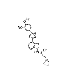 CC(C)Oc1ccc(-c2ncc(-c3cccc4c3CCC4N[S+]([O-])CCN3CCCC3)s2)cc1C#N